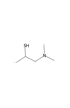 [CH2]C(S)CN(C)C